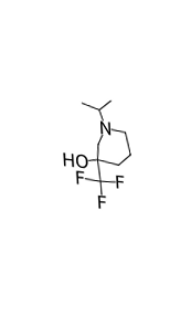 CC(C)N1CCCC(O)(C(F)(F)F)C1